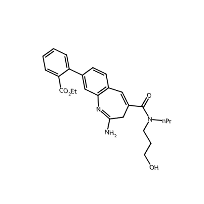 CCCN(CCCO)C(=O)C1=Cc2ccc(-c3ccccc3C(=O)OCC)cc2N=C(N)C1